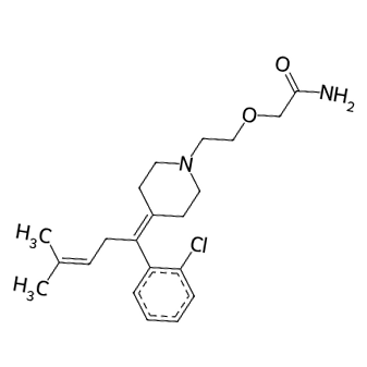 CC(C)=CCC(=C1CCN(CCOCC(N)=O)CC1)c1ccccc1Cl